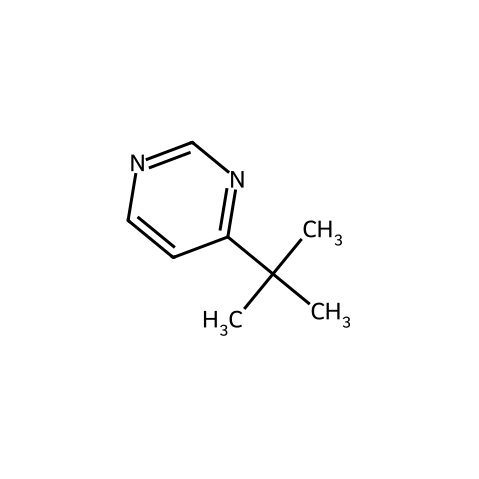 CC(C)(C)c1ccncn1